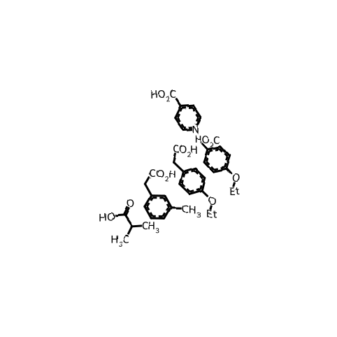 CC(C)C(=O)O.CCOc1ccc(C(=O)O)cc1.CCOc1ccc(CC(=O)O)cc1.Cc1cccc(CC(=O)O)c1.O=C(O)c1ccncc1